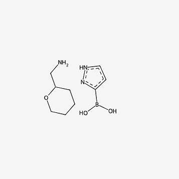 NCC1CCCCO1.OB(O)c1cc[nH]n1